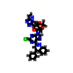 CCc1nnc(C2OC(n3cnc4c(NCC(c5ccccc5)c5ccccc5)nc(Cl)nc43)[C@@H]3OC(C)(C)O[C@H]23)[nH]1